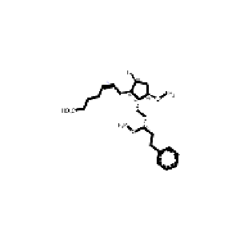 O=C(O)CCC/C=C\C[C@@H]1[C@@H](CC[C@H](CCc2ccccc2)OP)[C@H](OP)C[C@@H]1O